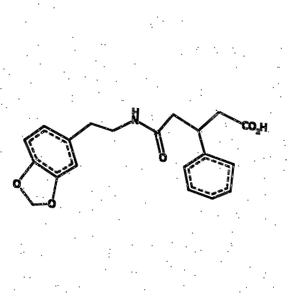 O=C(O)CC(CC(=O)NCCc1ccc2c(c1)OCO2)c1ccccc1